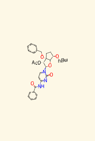 CCCCO[C@@H]1CC[C@@]2(OCc3ccccc3)C1O[C@@H](n1ccc(NC(=O)c3ccccc3)nc1=O)[C@@H]2OC(C)=O